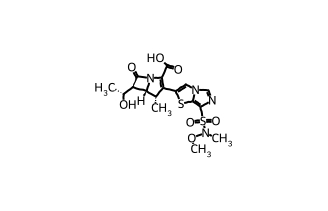 CON(C)S(=O)(=O)c1ncn2cc(C3=C(C(=O)O)N4C(=O)[C@H]([C@@H](C)O)[C@H]4[C@H]3C)sc12